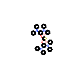 c1ccc(N(c2ccccc2)c2cc3c4c(c2)N(c2ccccc2)c2ccccc2B4c2sc4c(c2O3)Oc2cc(N(c3ccccc3)c3ccccc3)cc3c2B4c2ccccc2N3c2ccccc2)cc1